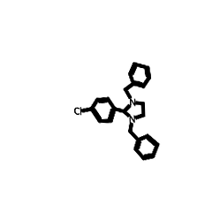 Clc1ccc(C2N(Cc3ccccc3)CCN2Cc2ccccc2)cc1